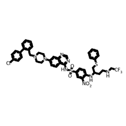 O=[N+]([O-])c1cc(S(=O)(=O)Nc2ncnc3cc(N4CCN(Cc5ccccc5-c5ccc(Cl)cc5)CC4)ccc23)ccc1NC(CCNCC(F)(F)F)CSc1ccccc1